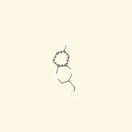 NCC1COc2ccc(O)cc2O1